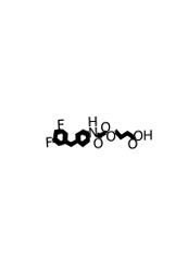 O=C(O)CCCOC(=O)C(=O)Nc1ccc(Cc2cc(F)cc(F)c2)cc1